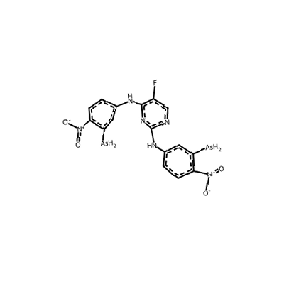 O=[N+]([O-])c1ccc(Nc2ncc(F)c(Nc3ccc([N+](=O)[O-])c([AsH2])c3)n2)cc1[AsH2]